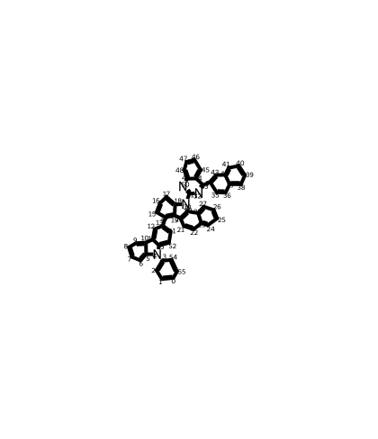 c1ccc(-n2c3ccccc3c3cc(-c4cccc5c4c4ccc6ccccc6c4n5-c4nc(-c5ccc6ccccc6c5)c5ccccc5n4)ccc32)cc1